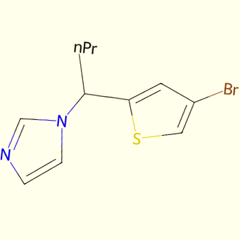 CCCC(c1cc(Br)cs1)n1ccnc1